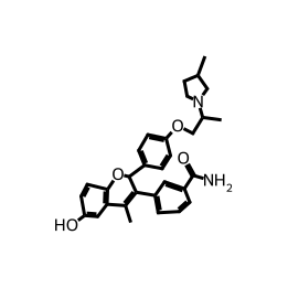 CC1=C(c2cccc(C(N)=O)c2)C(c2ccc(OCC(C)N3CCC(C)C3)cc2)Oc2ccc(O)cc21